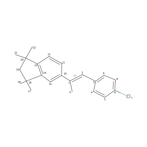 C/C(=C\c1ccc(Cl)cc1)c1ccc2c(c1)C(C)(C)CC2(C)C